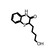 O=C1Nc2ccccc2SC1CCCCO